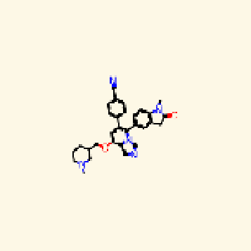 CN1CCCC(COc2cc(-c3ccc(C#N)cc3)c(-c3ccc4c(c3)CC(=O)N4C)n3cncc23)C1